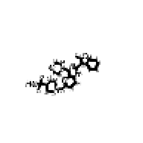 Cc1oc2ccccc2c1-c1nc(N2CCOCC2)c2nc(CN3CCC(C(C)(C)O)CC3)ccc2n1